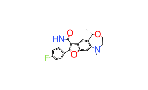 CNC(=O)c1c(-c2ccc(F)cc2)oc2cc3c(cc12)[C@H](C)OCCN3C